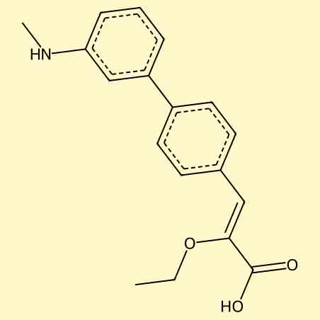 CCOC(=Cc1ccc(-c2cccc(NC)c2)cc1)C(=O)O